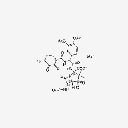 CCN1CCN(C(=O)NC(C(=O)N[C@@]2(C(=O)[O-])N3C(=O)[C@@H](NC=O)[C@H]3S(=O)(=O)C2(C)C)c2ccc(OC(C)=O)c(OC(C)=O)c2)C(=O)C1=O.[Na+]